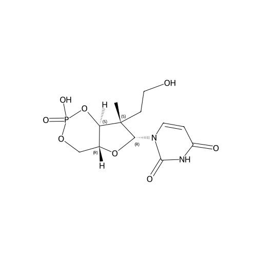 C[C@]1(CCO)[C@@H]2OP(=O)(O)OC[C@H]2O[C@H]1n1ccc(=O)[nH]c1=O